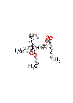 CCCCCCCCOS(=O)(=O)[O-].CCCCCC[P+](CCCCCC)(CCCCCC)CC(=O)OCCCCC